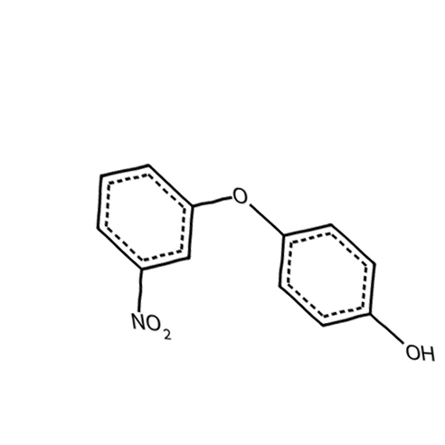 O=[N+]([O-])c1cccc(Oc2ccc(O)cc2)c1